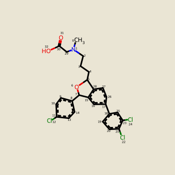 CN(CCCC1OC(c2ccc(Cl)cc2)c2cc(-c3ccc(Cl)c(Cl)c3)ccc21)CC(=O)O